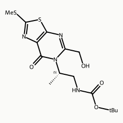 CSc1nc2c(=O)n([C@@H](C)CNC(=O)OC(C)(C)C)c(CO)nc2s1